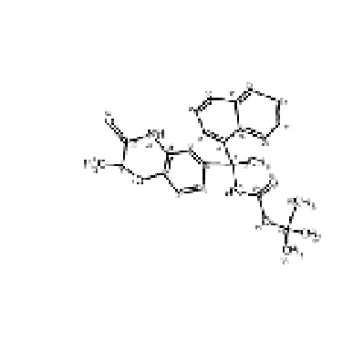 CC1Oc2ccc(C(C)(NC(=O)OC(C)(C)C)c3cccc4ccccc34)cc2NC1=O